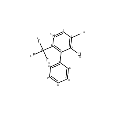 FC(F)(F)c1ncc(I)c(Cl)c1-c1ccccc1